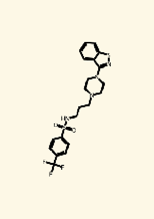 O=S(=O)(NCCCN1CCN(c2nsc3ccccc23)CC1)c1ccc(C(F)(F)F)cc1